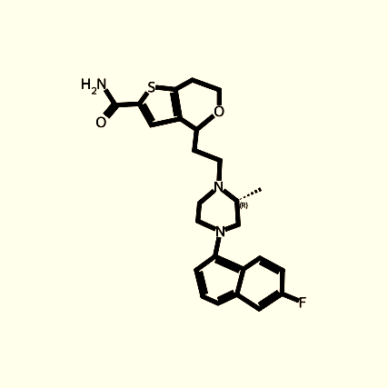 C[C@@H]1CN(c2cccc3cc(F)ccc23)CCN1CCC1OCCc2sc(C(N)=O)cc21